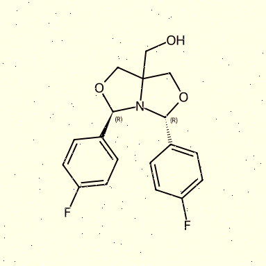 OCC12CO[C@H](c3ccc(F)cc3)N1[C@@H](c1ccc(F)cc1)OC2